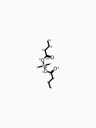 CCCC(=O)O[Si](C)(C)OC(=O)CCC